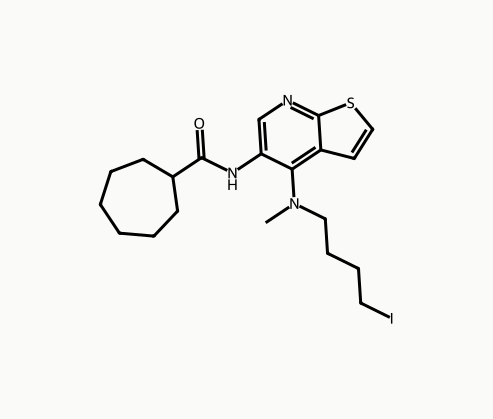 CN(CCCCI)c1c(NC(=O)C2CCCCCC2)cnc2sccc12